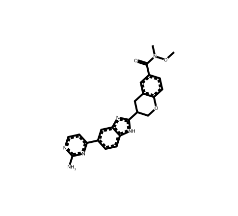 CON(C)C(=O)c1ccc2c(c1)CC(c1nc3cc(-c4ccnc(N)n4)ccc3[nH]1)CO2